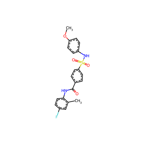 COc1ccc(NS(=O)(=O)c2ccc(C(=O)Nc3ccc(F)cc3C)cc2)cc1